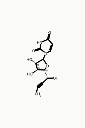 CC#CC(O)[C@H]1OC(n2ccc(=O)[nH]c2=O)[C@@H](O)[C@@H]1O